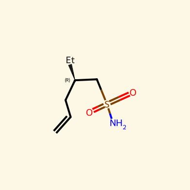 C=CC[C@@H](CC)CS(N)(=O)=O